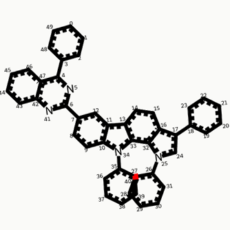 c1ccc(-c2nc(-c3ccc4c(c3)c3ccc5c(-c6ccccc6)cn(-c6ccccc6)c5c3n4-c3ccccc3)nc3ccccc23)cc1